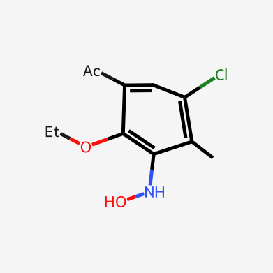 CCOc1c(C(C)=O)cc(Cl)c(C)c1NO